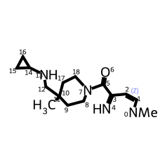 CN/C=C\C(=N)C(=O)N1CCC(C)(CNC2CC2)CC1